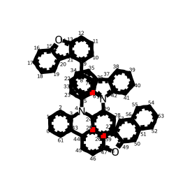 c1ccc(N(c2ccc(-c3cccc4oc5ccccc5c34)cc2)c2ccccc2-n2c3ccccc3c3ccccc32)c(-c2ccc3oc4cc5ccccc5cc4c3c2)c1